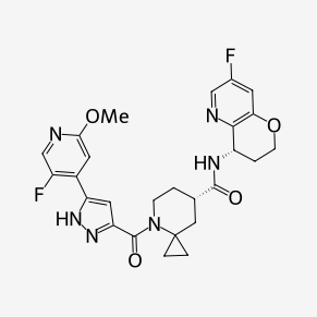 COc1cc(-c2cc(C(=O)N3CC[C@H](C(=O)N[C@H]4CCOc5cc(F)cnc54)CC34CC4)n[nH]2)c(F)cn1